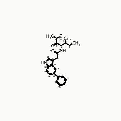 CC[C@H](C)[C@H](NC(=O)Cc1c[nH]c2ccc(-c3ccccc3)cc12)C(=O)C(C)C